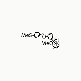 CCC(OC)(c1cccc(OCc2ccc(SC)cc2)c1)c1nccs1